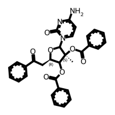 C[C@]1(OC(=O)c2ccccc2)C(OC(=O)c2ccccc2)[C@@H](CC(=O)c2ccccc2)OC1n1ccc(N)nc1=O